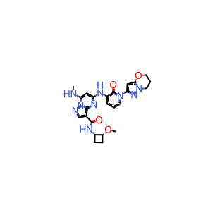 CNc1cc(Nc2cccn(-c3cc4n(n3)CCCO4)c2=O)nc2c(C(=O)N[C@@H]3CC[C@H]3OC)cnn12